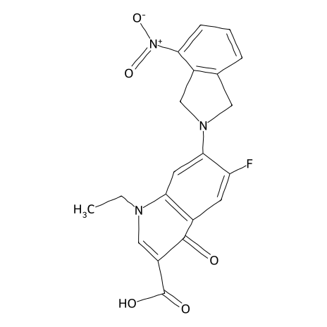 CCn1cc(C(=O)O)c(=O)c2cc(F)c(N3Cc4cccc([N+](=O)[O-])c4C3)cc21